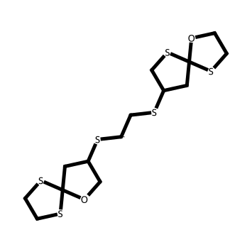 [CH](CSC1CSC2(C1)OCCS2)SC1COC2(C1)SCCS2